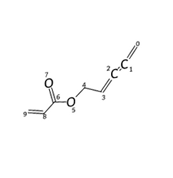 C=C=C=CCOC(=O)C=C